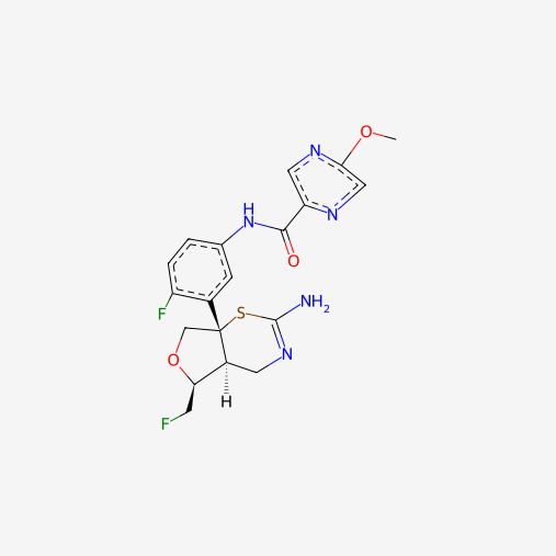 COc1cnc(C(=O)Nc2ccc(F)c([C@]34CO[C@H](CF)[C@@H]3CN=C(N)S4)c2)cn1